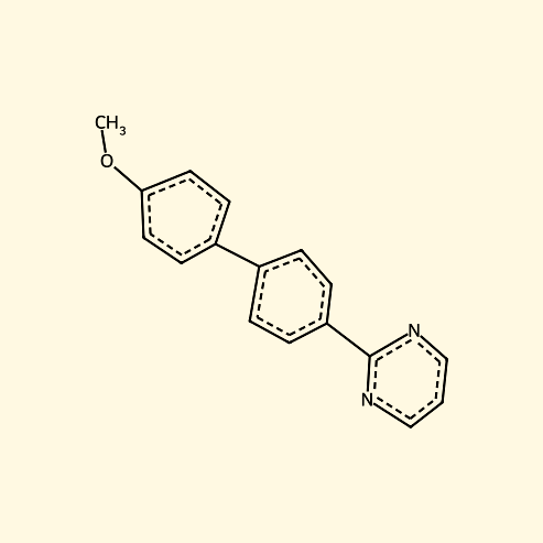 COc1ccc(-c2ccc(-c3ncccn3)cc2)cc1